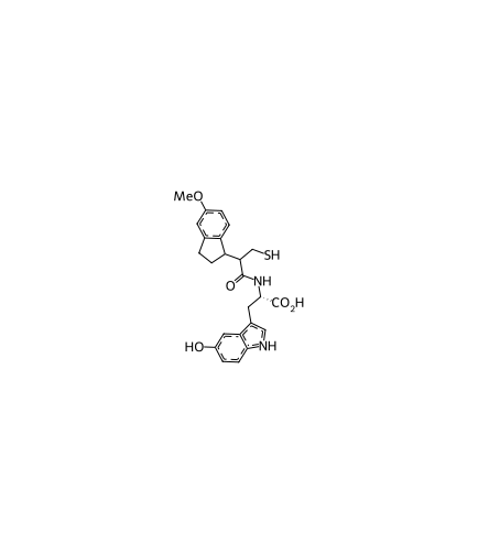 COc1ccc2c(c1)CCC2C(CS)C(=O)N[C@@H](Cc1c[nH]c2ccc(O)cc12)C(=O)O